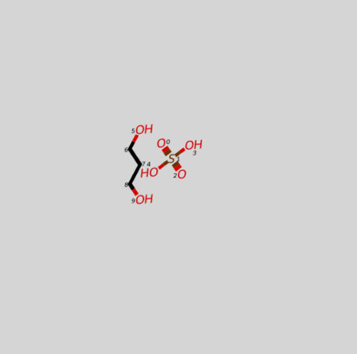 O=S(=O)(O)O.OCCCO